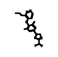 CCCc1nnccc1Oc1c(C)cc(N2CN=C(C(F)F)O2)cc1C